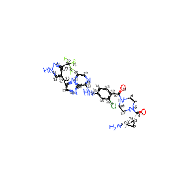 N[C@H]1C[C@H]1C(=O)N1CCN(C(=O)c2ccc(Nc3nccn4c(-c5c[nH]nc5C(F)(F)F)cnc34)cc2Cl)CC1